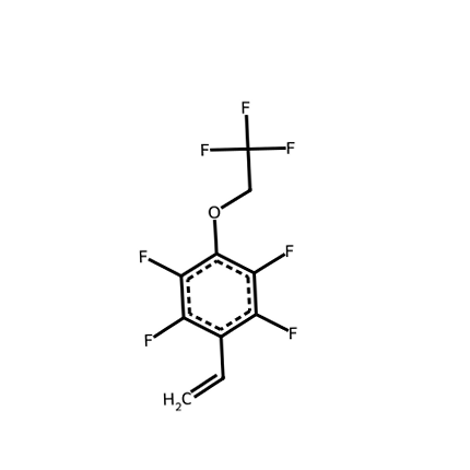 C=Cc1c(F)c(F)c(OCC(F)(F)F)c(F)c1F